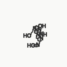 CC([C@@H](C)Nc1nccc2cc(CN3CC[C@@H](O)C3)cnc12)N(C)c1c(O)ccn(CCCCO)c1=O